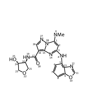 CNc1cc(Nc2cccc3ocnc23)nc2c(C(=O)N[C@H]3COC[C@H]3O)cnn12